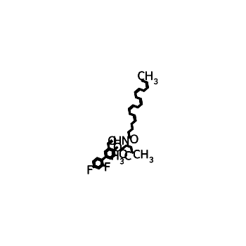 CC/C=C\C/C=C\C/C=C\C/C=C\C/C=C\CCCC(=O)NC(CC(C)C)C(=O)Oc1ccc(-c2ccc(F)cc2F)cc1C=O